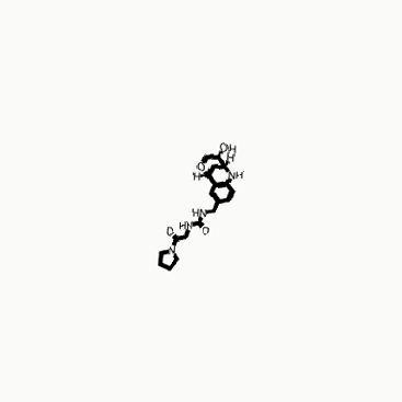 O=C(NCC(=O)N1CCCC1)NCc1ccc2c(c1)[C@H]1C[C@@H](N2)[C@H](O)CO1